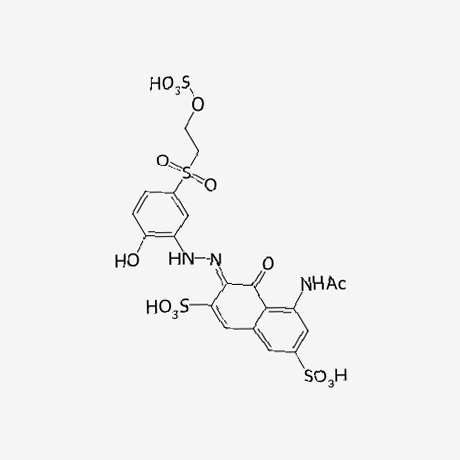 CC(=O)Nc1cc(S(=O)(=O)O)cc2c1C(=O)/C(=N/Nc1cc(S(=O)(=O)CCOS(=O)(=O)O)ccc1O)C(S(=O)(=O)O)=C2